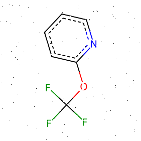 FC(F)(F)Oc1ccc[c]n1